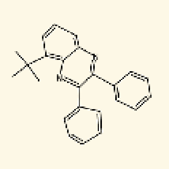 CC(C)(C)c1cccc2nc(-c3ccccc3)c(-c3ccccc3)nc12